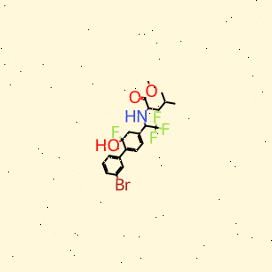 COC(=O)C(CC(C)C)NC(C1=CC=C(c2cccc(Br)c2)C(O)(F)C1)C(F)(F)F